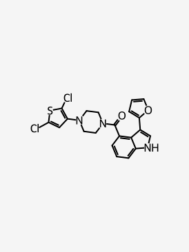 O=C(c1cccc2[nH]cc(-c3ccco3)c12)N1CCN(c2cc(Cl)sc2Cl)CC1